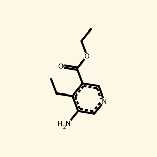 CCOC(=O)c1cncc(N)c1CC